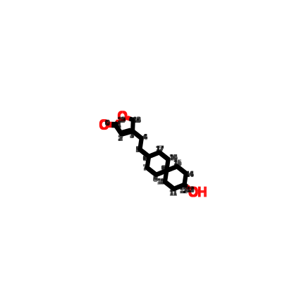 O=C1C=C(CCC2CCC3(CCC(O)CC3)CC2)CO1